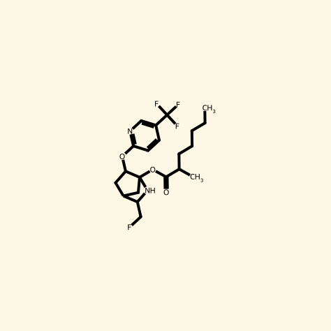 CCCCCC(C)C(=O)OC12CC(CC1Oc1ccc(C(F)(F)F)cn1)C(CF)N2